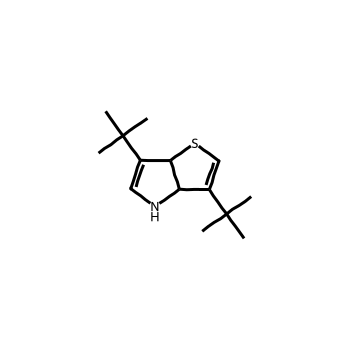 CC(C)(C)C1=CSC2C(C(C)(C)C)=CNC12